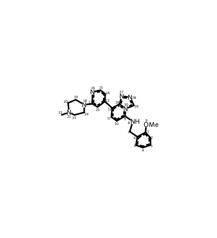 COc1ccccc1CNc1ccc(-c2ccnc(N3CCN(C)CC3)c2)c2nncn12